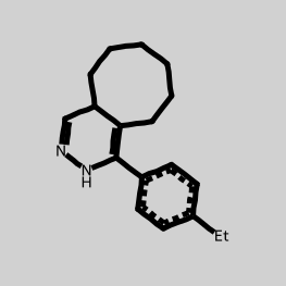 CCc1ccc(C2=C3CCCCCCC3C=NN2)cc1